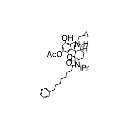 CC(=O)Oc1cc(O)c2c3c1O[C@H]1[C@@H](N(C(=O)CCCCCCCc4ccccc4)C(C)C)CC[C@H]4[C@@H](C2)N(CC2CC2)CC[C@@]341